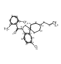 O=C(c1c(C(F)(F)F)cccc1C(F)(F)F)N1CC2(CCN(CCC(F)(F)F)CC2)c2cc(Cl)ccc21